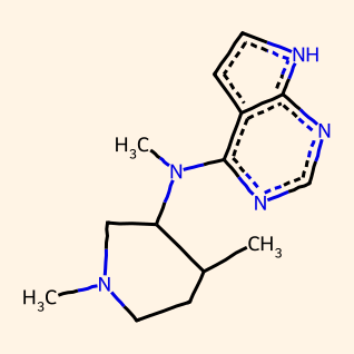 CC1CCN(C)CC1N(C)c1ncnc2[nH]ccc12